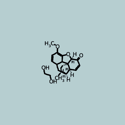 COC1=C2O[C@H]3C(=O)C=C[C@H]4[C@H]5CC(C=C1)C2[C@@]34CCN5C.OCCO